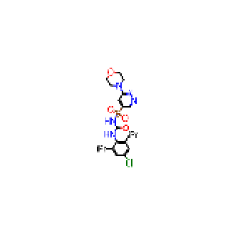 CC(C)c1cc(Cl)cc(C(C)C)c1NC(=O)NS(=O)(=O)c1cnnc(N2CCOCC2)c1